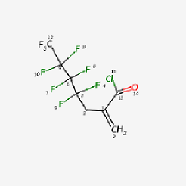 C=C(CC(F)(F)C(F)(F)C(F)(F)C(F)(F)F)C(=O)Cl